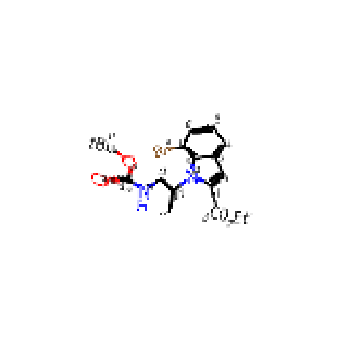 CCOC(=O)c1cc2cccc(Br)c2n1C(C)CNC(=O)OC(C)(C)C